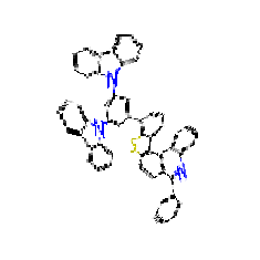 c1ccc(-c2nc3ccccc3c3c2ccc2sc4c(-c5cc(-n6c7ccccc7c7ccccc76)cc(-n6c7ccccc7c7ccccc76)c5)cccc4c23)cc1